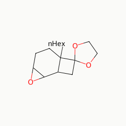 CCCCCCC12CCC3OC3C1CC21OCCO1